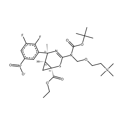 CCOC(=O)[C@]12C[C@H]1[C@@](C)(c1cc([N+](=O)[O-])cc(F)c1F)N=C(N(COCC[Si](C)(C)C)C(=O)OC(C)(C)C)S2